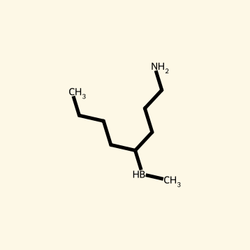 CBC(CCCC)CCCN